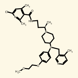 COCCOc1ccc(N(Cc2cnccc2C)C2CCN([C@H](C)CCNC(=O)c3c(C)cc(Cl)nc3C)CC2)cc1